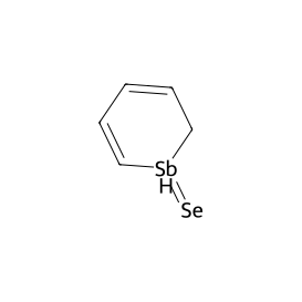 [Se]=[SbH]1[CH]=CC=C[CH2]1